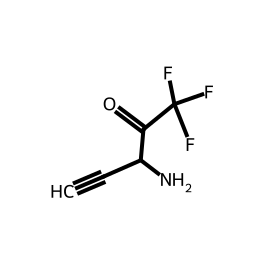 C#CC(N)C(=O)C(F)(F)F